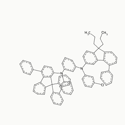 CCCC1(CCC)c2ccc(N(c3cccc(Cl)c3)c3cccc(N(c4ccccc4)c4ccc(-c5ccccc5)c5c4C4(c6ccccc6-c6ccccc64)c4ccccc4-5)c3)cc2-c2c(-c3ccccc3)cccc21